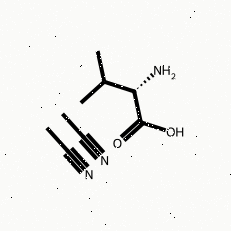 CC#N.CC#N.CC(C)[C@H](N)C(=O)O